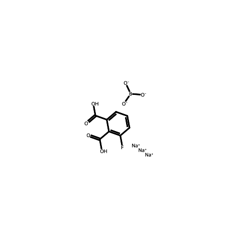 O=C(O)c1cccc(F)c1C(=O)O.[Na+].[Na+].[Na+].[O-]B([O-])[O-]